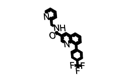 O=C(NCc1ccccn1)c1cnc2c(C3=CCC(C(F)(F)F)CC3)cccc2c1